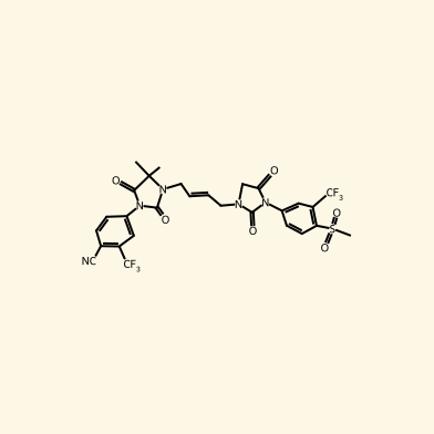 CC1(C)C(=O)N(c2ccc(C#N)c(C(F)(F)F)c2)C(=O)N1CC=CCN1CC(=O)N(c2ccc(S(C)(=O)=O)c(C(F)(F)F)c2)C1=O